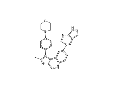 Cc1nc2cnc3ccc(-c4cnc5[nH]ccc5c4)cc3c2n1-c1ccc(N2CCOCC2)cc1